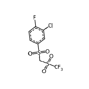 O=S(=O)(CS(=O)(=O)C(F)(F)F)c1ccc(F)c(Cl)c1